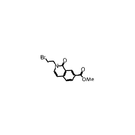 COC(=O)c1ccc2ccn(CCBr)c(=O)c2c1